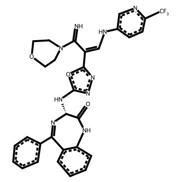 N=C(/C(=C\Nc1ccc(C(F)(F)F)nc1)c1nnc(N[C@H]2N=C(c3ccccc3)c3ccccc3NC2=O)o1)N1CCOCC1